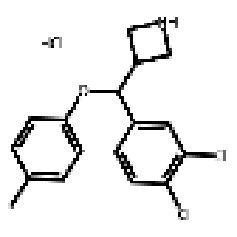 Cc1ccc(OC(c2ccc(Cl)c(Cl)c2)C2CNC2)cc1.Cl